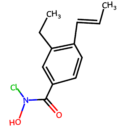 CC=Cc1ccc(C(=O)N(O)Cl)cc1CC